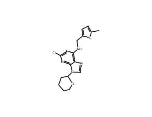 Cc1ccc(CNc2nc(Cl)nc3c2ncn3C2CCCCO2)o1